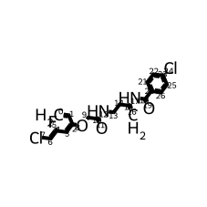 C=C/C(=C\C(F)=C\Cl)OCC(=O)NCCC(=C)NC(=O)c1ccc(Cl)cc1